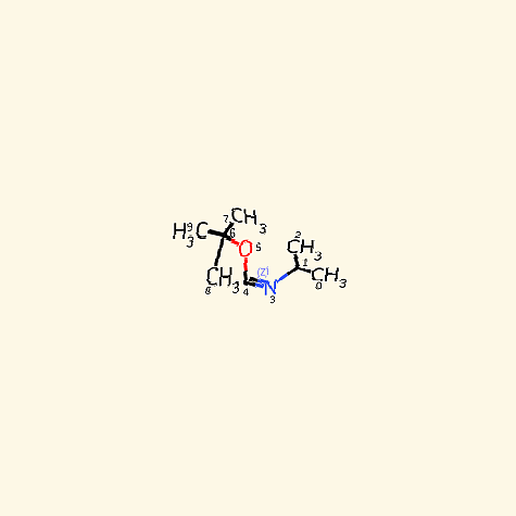 CC(C)/N=C\OC(C)(C)C